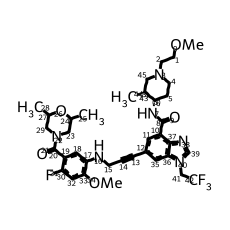 COCCN1CC[C@H](NC(=O)c2cc(C#CCNc3cc(C(=O)N4CC(C)OC(C)C4)c(F)cc3OC)cc3c2ncn3CC(F)(F)F)[C@@H](C)C1